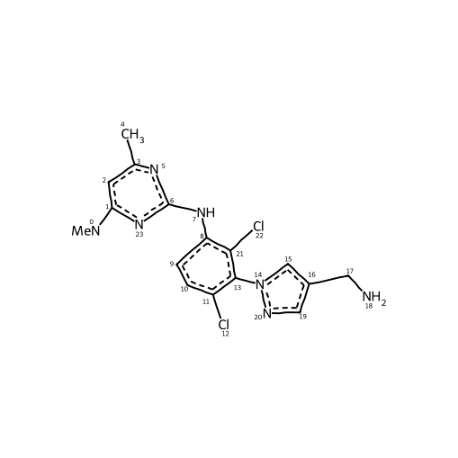 CNc1cc(C)nc(Nc2ccc(Cl)c(-n3cc(CN)cn3)c2Cl)n1